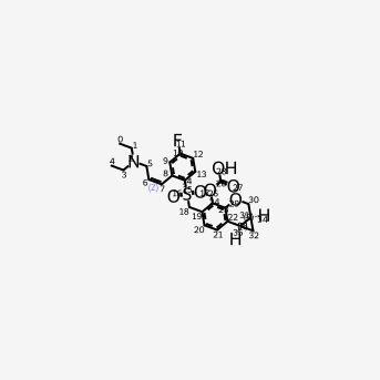 CCN(CC)C/C=C\c1cc(F)ccc1S(=O)(=O)Cc1ccc2c(c1OC(=O)O)OC[C@H]1C[C@@H]21